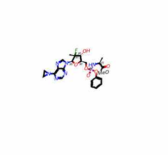 COC(=O)[C@H](C)N[P@](=O)(OC[C@H]1O[C@@H](n2cnc3c(N4CC4)ncnc32)[C@](C)(F)[C@@H]1O)Oc1ccccc1